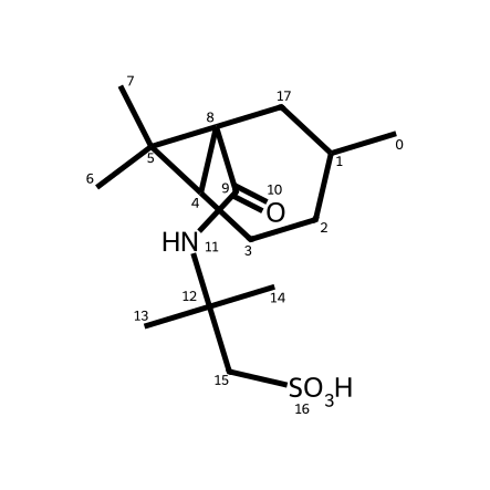 CC1CCC2C(C)(C)C2(C(=O)NC(C)(C)CS(=O)(=O)O)C1